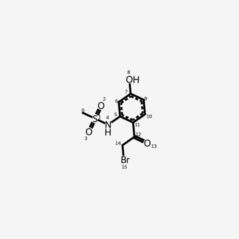 CS(=O)(=O)Nc1cc(O)ccc1C(=O)CBr